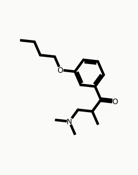 CCCCOc1cccc(C(=O)C(C)CN(C)C)c1